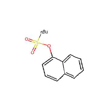 CCCCS(=O)(=O)Oc1cccc2ccccc12